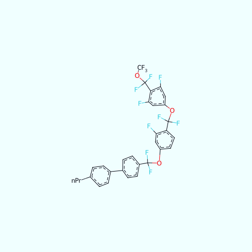 CCCc1ccc(-c2ccc(C(F)(F)Oc3ccc(C(F)(F)Oc4cc(F)c(C(F)(F)OC(F)(F)F)c(F)c4)c(F)c3)cc2)cc1